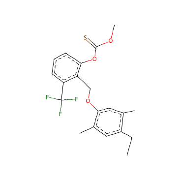 CCc1cc(C)c(OCc2c(OC(=S)OC)cccc2C(F)(F)F)cc1C